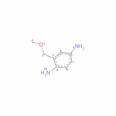 COCc1cc(N)ccc1N